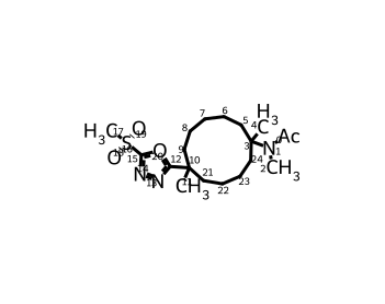 CC(=O)N(C)C1(C)CCCCCC(C)(c2nnc(S(C)(=O)=O)o2)CCCC1